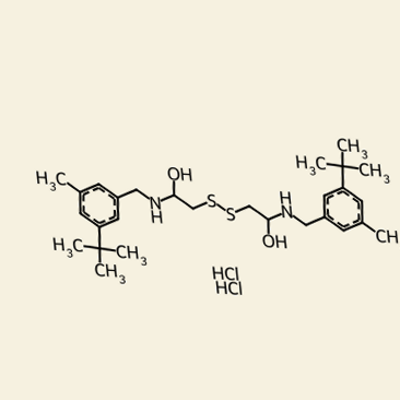 Cc1cc(CNC(O)CSSCC(O)NCc2cc(C)cc(C(C)(C)C)c2)cc(C(C)(C)C)c1.Cl.Cl